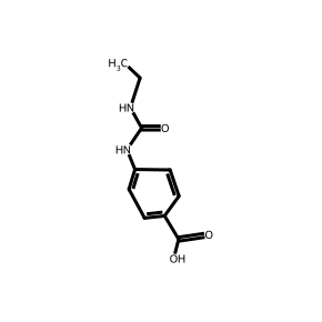 CCNC(=O)Nc1ccc(C(=O)O)cc1